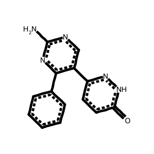 Nc1ncc(-c2ccc(=O)[nH]n2)c(-c2ccccc2)n1